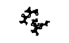 C=C(C)C(=O)OC1(C2CO2)CC1.C=CC(=O)OCC.C=CCOC(=O)C(=C)C